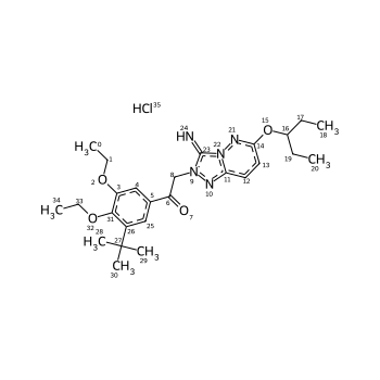 CCOc1cc(C(=O)Cn2nc3ccc(OC(CC)CC)nn3c2=N)cc(C(C)(C)C)c1OCC.Cl